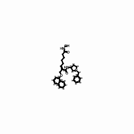 O=C(CCCCC=C(COc1cccc2ccccc12)C(=O)NC1CCN(Cc2ccccc2)C1)NO